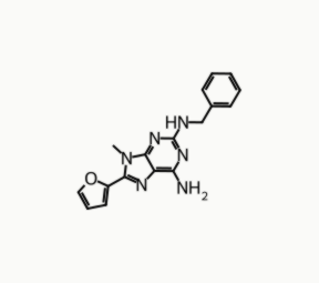 Cn1c(-c2ccco2)nc2c(N)nc(NCc3ccccc3)nc21